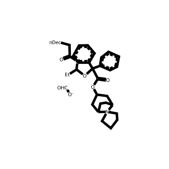 CCCCCCCCCCCC(=O)OC(CC)OC(C(=O)OC1CC2CCC(C1)[N+]21CCCC1)(c1ccccc1)c1ccccc1.O=C[O-]